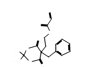 C=CC(=O)OCCC1(Cc2ccccc2)C(=O)OC(C)(C)OC1=O